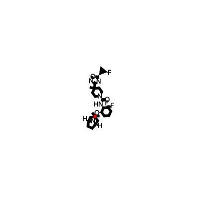 CC(C)N1[C@@H]2CC[C@H]1C[C@@H](O[C@H]1CCCC(F)(F)[C@@H]1NC(=O)N1CCC(C)(c3noc([C@@H]4C[C@@H]4F)n3)CC1)C2